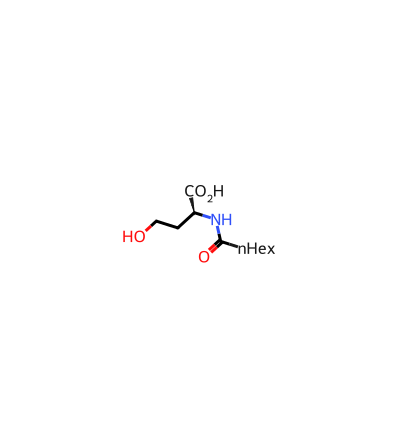 CCCCCCC(=O)N[C@@H](CCO)C(=O)O